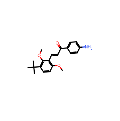 COc1ccc(C(C)(C)C)c(OC)c1/C=C/C(=O)c1ccc(N)cc1